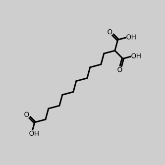 O=C(O)CCCCCCCCCCC(C(=O)O)C(=O)O